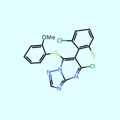 COc1ccccc1Sc1c(-c2c(F)cccc2Cl)c(Cl)nc2ncnn12